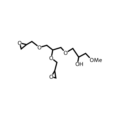 COCC(O)COCC(COCC1CO1)OCC1CO1